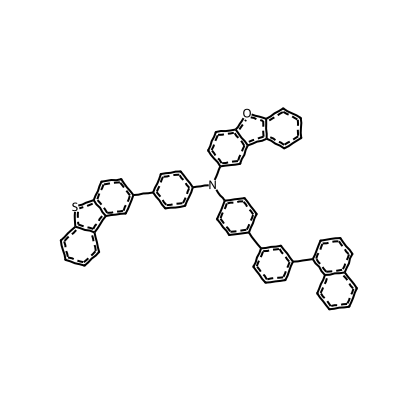 c1cc(-c2ccc(N(c3ccc(-c4ccc5sc6ccccc6c5c4)cc3)c3ccc4oc5ccccc5c4c3)cc2)cc(-c2cccc3ccccc23)c1